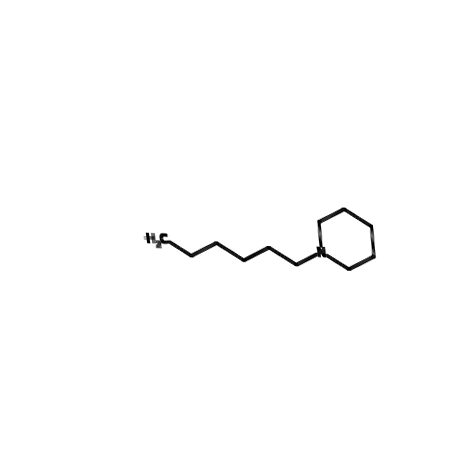 [CH2]CCCCCN1CCCCC1